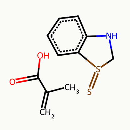 C=C(C)C(=O)O.S=S1CNc2ccccc21